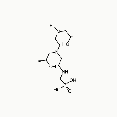 CCN(CCN(CCNCP(=O)(O)O)C[C@H](C)O)C[C@H](C)O